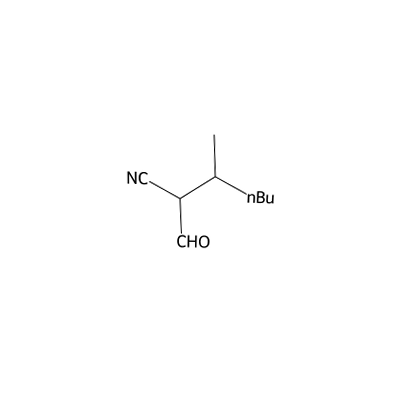 CCCCC(C)C(C#N)C=O